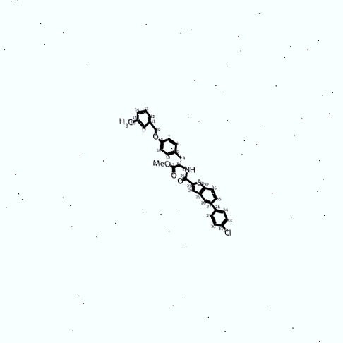 COC(=O)[C@H](Cc1ccc(OCc2cccc(C)c2)cc1)NC(=O)c1cc2cc(-c3ccc(Cl)cc3)ccc2s1